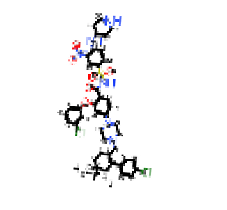 CC1(C)CCC(CN2CCN(c3ccc(C(=O)NS(=O)(=O)c4ccc(NC5CCNCC5)c([N+](=O)[O-])c4)c(Oc4cccc(Cl)c4)c3)CC2)=C(c2ccc(Cl)cc2)C1